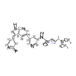 CN(C)C/C=C/C(=O)Nc1cncc(-c2cnc3[nH]cc(-c4ccnc(F)c4)c3c2)c1